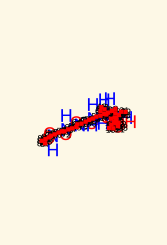 CC(C)C[C@H](NC(=O)[C@@](Cc1ccccc1)(NC(=O)OC(C)(C)C)[C@H](O)CCCc1ccccc1)C(=O)NC(Cc1ccccc1)C(=O)NCCCCCNC(=O)CCCCCNC(=O)CCCCCNC(=O)CCCCCNC(=O)OCc1ccccc1